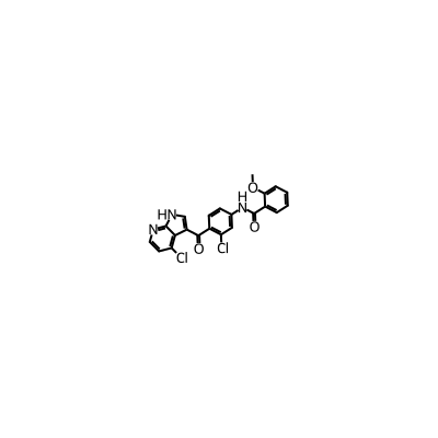 COc1ccccc1C(=O)Nc1ccc(C(=O)c2c[nH]c3nccc(Cl)c23)c(Cl)c1